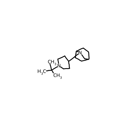 CC(C)(C)N1CCC(N2CC3CCC2CC3)CC1